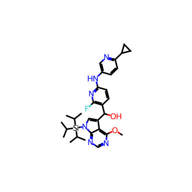 COc1ncnc2c1c(C(O)c1ccc(Nc3ccc(C4CC4)nc3)nc1F)cn2[Si](C(C)C)(C(C)C)C(C)C